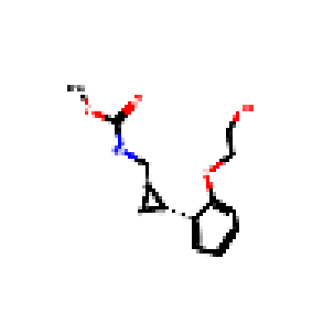 CC(C)(C)OC(=O)NC[C@@H]1C[C@H]1c1ccccc1OCCO